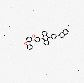 c1ccc2cc(-c3ccc(-c4c5ccccc5c(-c5ccc6c(c5)oc5ccc7oc8ccccc8c7c56)c5ccccc45)cc3)ccc2c1